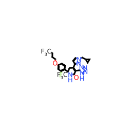 O=C1NC(c2ccc(OCCCC(F)(F)F)cc2F)(C(F)(F)F)CC(c2ccn(CC3CC3)n2)=C1c1nnn[nH]1